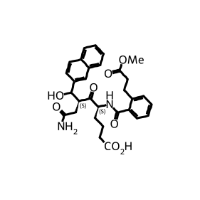 COC(=O)CCc1ccccc1C(=O)N[C@@H](CCCC(=O)O)C(=O)[C@@H](CC(N)=O)C(O)c1ccc2ccccc2c1